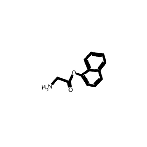 NCC(=O)Oc1cccc2ccccc12